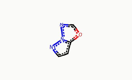 c1cc2ocnn2n1